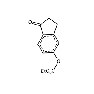 CCOC(=O)Oc1ccc2c(c1)CCC2=O